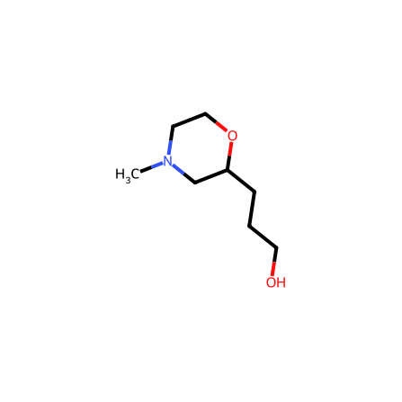 CN1CCOC(CCCO)C1